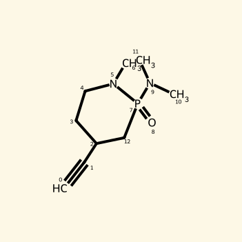 C#CC1CCN(C)P(=O)(N(C)C)C1